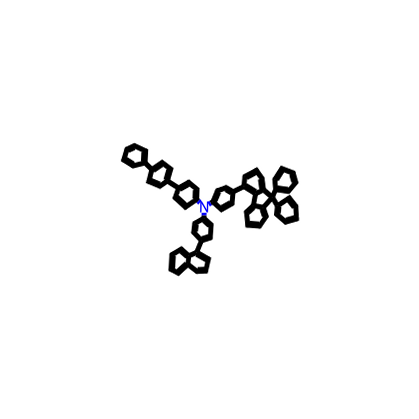 c1ccc(-c2ccc(-c3ccc(N(c4ccc(-c5cccc6c5-c5ccccc5C6(c5ccccc5)c5ccccc5)cc4)c4ccc(-c5cccc6ccccc56)cc4)cc3)cc2)cc1